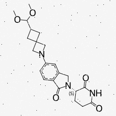 COC(OC)C1CC2(C1)CN(c1ccc3c(c1)CN([C@H]1CCC(=O)NC1=O)C3=O)C2